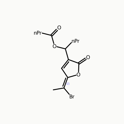 CCCC(=O)OC(CCC)C1=C/C(=C(\C)Br)OC1=O